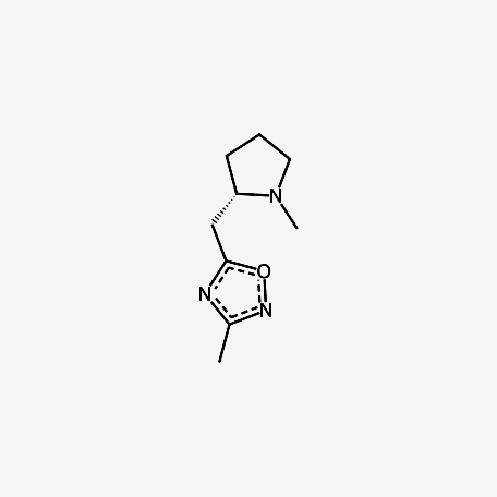 Cc1noc(C[C@@H]2CCCN2C)n1